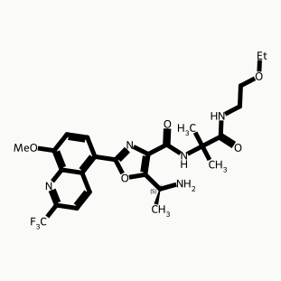 CCOCCNC(=O)C(C)(C)NC(=O)c1nc(-c2ccc(OC)c3nc(C(F)(F)F)ccc23)oc1[C@H](C)N